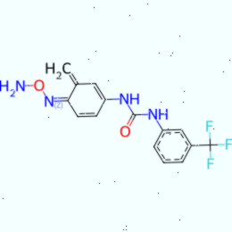 C=C1C=C(NC(=O)Nc2cccc(C(F)(F)F)c2)C=C/C1=N/ON